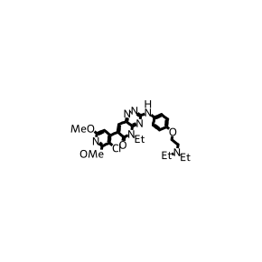 CCN(CC)CCOc1ccc(Nc2nnc3cc(-c4cc(OC)nc(OC)c4Cl)c(=O)n(CC)c3n2)cc1